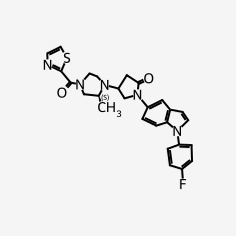 C[C@H]1CN(C(=O)c2nccs2)CCN1C1CC(=O)N(c2ccc3c(ccn3-c3ccc(F)cc3)c2)C1